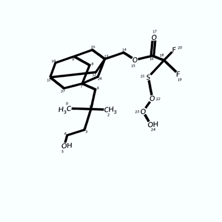 CC(C)(CCO)CC12CC3CC(CC(COC(=O)C(F)(F)SOOO)(C3)C1)C2